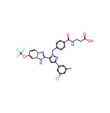 Cc1cc(Cl)cc(-c2cc(C3=NC4C=CC(OC(F)(F)F)=CC4N3)n(Cc3ccc(C(=O)NCCC(=O)O)cc3)n2)c1